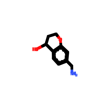 NCc1ccc2c(c1)OCCC2O